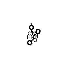 Cc1ccc(C(=O)n2c(NC(=O)c3ccccc3)nc3ccccc32)cc1